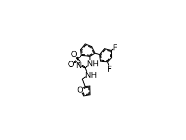 O=S1(=O)N=C(NCc2ccco2)Nc2c(-c3cc(F)cc(F)c3)cccc21